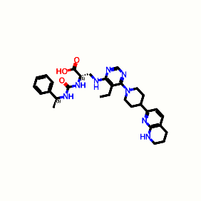 CCc1c(NC[C@H](NC(=O)N[C@@H](C)c2ccccc2)C(=O)O)ncnc1N1CCC(c2ccc3c(n2)NCCC3)CC1